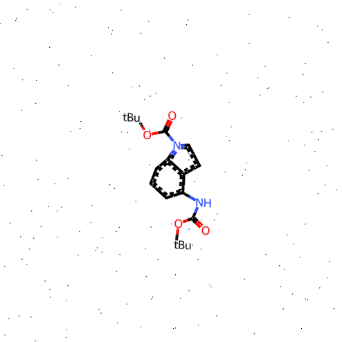 CC(C)(C)OC(=O)Nc1cccc2c1ccn2C(=O)OC(C)(C)C